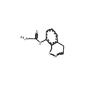 NC(=S)Nc1cccc2c1SN=CC2